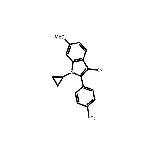 COc1ccc2c(C#N)c(-c3ccc(N)cc3)n(C3CC3)c2c1